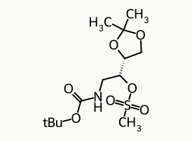 CC(C)(C)OC(=O)NCC(OS(C)(=O)=O)[C@H]1COC(C)(C)O1